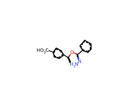 C=C(O/C(=N\N)c1ccccc1)c1ccc(C(=O)O)cc1